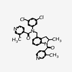 Cc1cnccc1C(=O)N(Cc1cccc2c1CC(C)N2C(=O)c1ccncc1C)c1cc(Cl)cc(Cl)c1